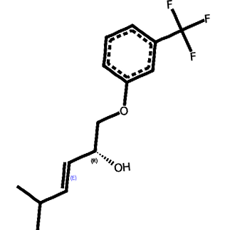 CC(C)/C=C/[C@@H](O)COc1cccc(C(F)(F)F)c1